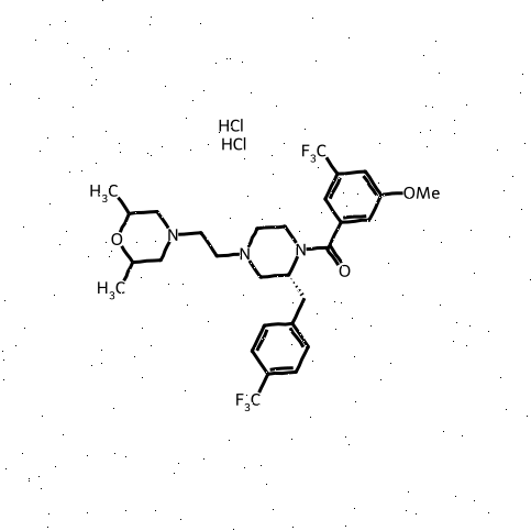 COc1cc(C(=O)N2CCN(CCN3CC(C)OC(C)C3)C[C@H]2Cc2ccc(C(F)(F)F)cc2)cc(C(F)(F)F)c1.Cl.Cl